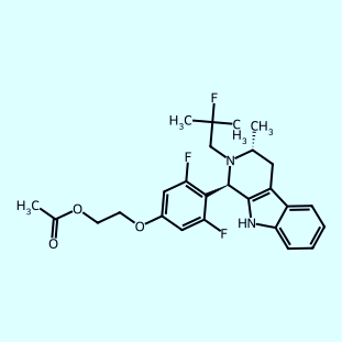 CC(=O)OCCOc1cc(F)c([C@@H]2c3[nH]c4ccccc4c3C[C@@H](C)N2CC(C)(C)F)c(F)c1